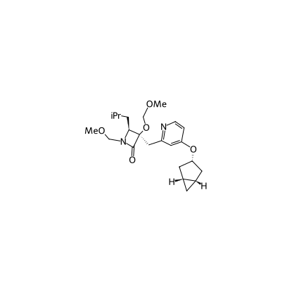 COCO[C@@]1(Cc2cc(O[C@@H]3C[C@@H]4C[C@@H]4C3)ccn2)C(=O)N(COC)[C@H]1CC(C)C